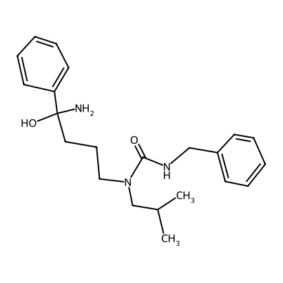 CC(C)CN(CCCC(N)(O)c1ccccc1)C(=O)NCc1ccccc1